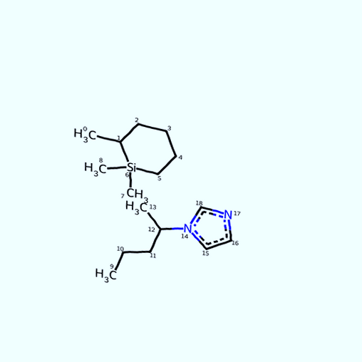 CC1CCCC[Si]1(C)C.CCCC(C)n1ccnc1